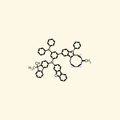 C=C1/C=C\C=C/Cc2c(n(-c3ccccc3)c3ccc(-c4cc(N(c5ccccc5)c5ccccc5)cc(N(c5ccc6c(c5)-c5ccccc5C6(C)C)c5ccc6c(c5)oc5ccccc56)c4)cc23)/C=C\1